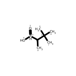 CC([PH](=O)O)C(C)(C)C